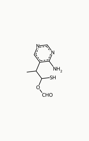 CC(c1cncnc1N)C(S)OC=O